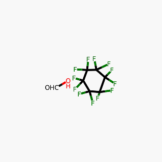 FC1(F)C(F)(F)C(F)(F)C(F)(F)C(F)(F)C1(F)F.O=CO